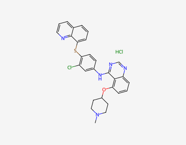 CN1CCC(Oc2cccc3ncnc(Nc4ccc(Sc5cccc6cccnc56)c(Cl)c4)c23)CC1.Cl